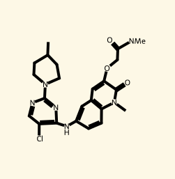 CNC(=O)COc1cc2cc(Nc3nc(N4CCC(C)CC4)ncc3Cl)ccc2n(C)c1=O